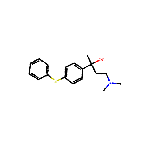 CN(C)CCC(C)(O)c1ccc(Sc2ccccc2)cc1